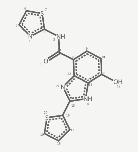 O=C(Nc1nccs1)c1ccc(O)c2[nH]c(-c3cccs3)nc12